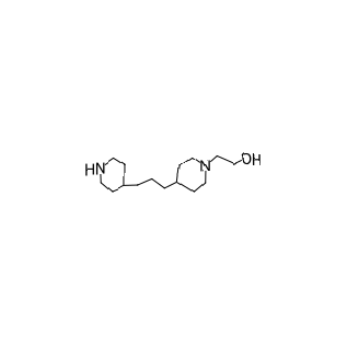 OCCN1CCC(CCCC2CCNCC2)CC1